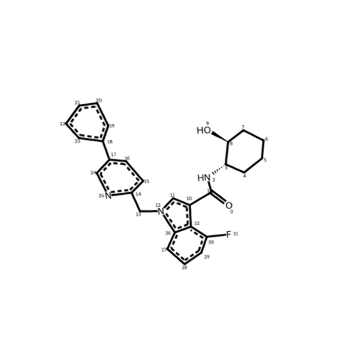 O=C(N[C@H]1CCCC[C@@H]1O)c1cn(Cc2ccc(-c3ccccc3)cn2)c2cccc(F)c12